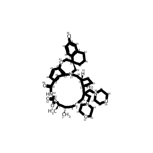 C[C@@H]1[C@@H](C)CCCC(CN2CCOCC2)(CN2CCOCC2)[C@@H]2CC[C@H]2CN2C[C@@]3(CCCc4cc(Cl)ccc43)COc3ccc(cc32)C(=O)NS1(=O)=O